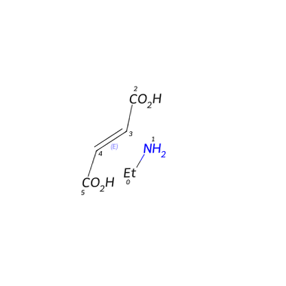 CCN.O=C(O)/C=C/C(=O)O